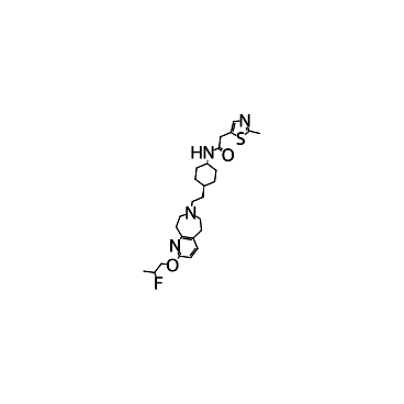 Cc1ncc(CC(=O)N[C@H]2CC[C@H](CCN3CCc4ccc(OCC(C)F)nc4CC3)CC2)s1